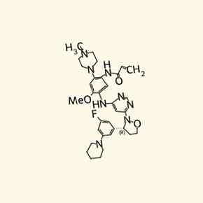 C=CC(=O)Nc1cc(Nc2cc(N3OCC[C@@H]3c3cc(F)cc(N4CCCCC4)c3)ncn2)c(OC)cc1N1CCN(C)CC1